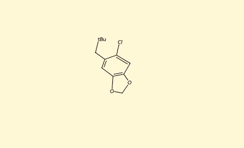 CC(C)(C)Cc1cc2c(cc1Cl)OCO2